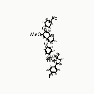 COc1cc2c(Oc3ccc(S(=O)(=O)NN4C(=O)CSC4c4ccc(F)cc4)cc3)ccnc2cc1OC1CCN(C(C)=O)CC1